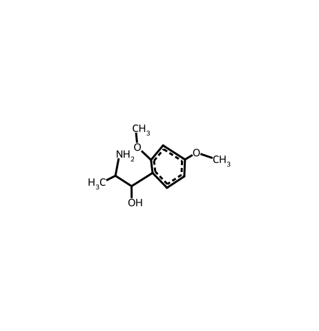 COc1ccc(C(O)C(C)N)c(OC)c1